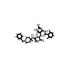 Cc1cccc(C)c1C(=O)Nc1nc(=O)[nH]cc1CC(NC(=O)NC1(C)CCN(Cc2ccccc2)CC1)C(=O)O